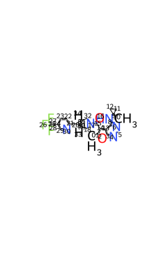 Cc1oc2ncnc(NC3(C)CC3)c2c1C(=O)N1C[C@@H]2C(c3ccc(C(F)(F)F)cn3)[C@@H]2C1